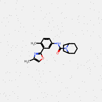 Cc1coc(-c2cc(NC(=O)N3C4CCCC3CC4)ccc2C)n1